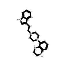 c1cc2c(c(N3CCN(CCc4csc5ccccc45)CC3)c1)OCCO2